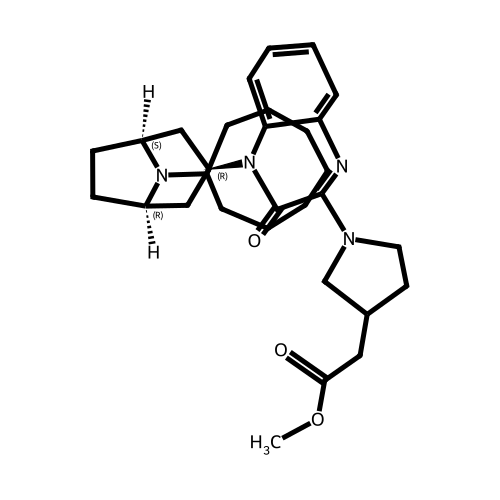 COC(=O)CC1CCN(c2nc3ccccc3n([C@H]3C[C@H]4CC[C@@H](C3)N4C3CCCCCCC3)c2=O)C1